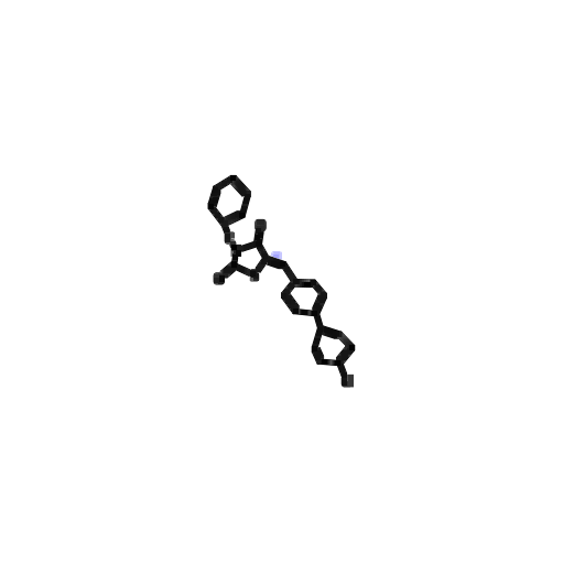 O=C1S/C(=C\c2ccc(-c3ccc(Cl)cc3)cc2)C(=O)N1Cc1ccccc1